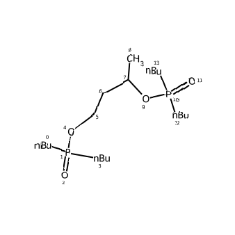 CCCCP(=O)(CCCC)OCCC(C)OP(=O)(CCCC)CCCC